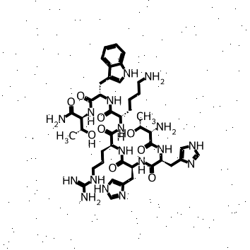 C[C@@H](O)[C@H](N)C(=O)N[C@@H](Cc1c[nH]cn1)C(=O)N[C@@H](Cc1c[nH]cn1)C(=O)N[C@@H](CCCNC(=N)N)C(=O)N[C@@H](CCCCN)C(=O)N[C@@H](Cc1c[nH]c2ccccc12)C(=O)N[C@H](C(N)=O)[C@@H](C)O